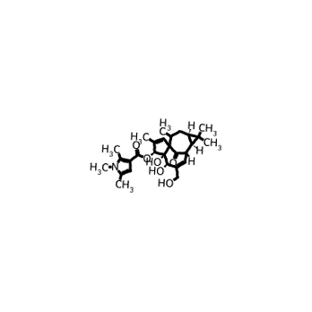 CC1=CC23C(=O)[C@@H](C=C(CO)[C@@H](O)[C@]2(O)[C@H]1OC(=O)c1cc(C)n(C)c1C)[C@H]1[C@@H](CC3C)C1(C)C